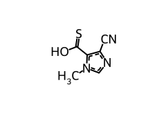 Cn1cnc(C#N)c1C(O)=S